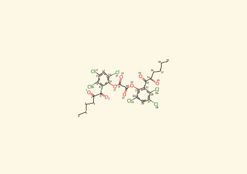 CCCCC(=O)C(=O)c1c(Cl)c(Cl)cc(Cl)c1OC(=O)C(=O)Oc1c(Cl)cc(Cl)c(Cl)c1C(=O)C(=O)CCCC